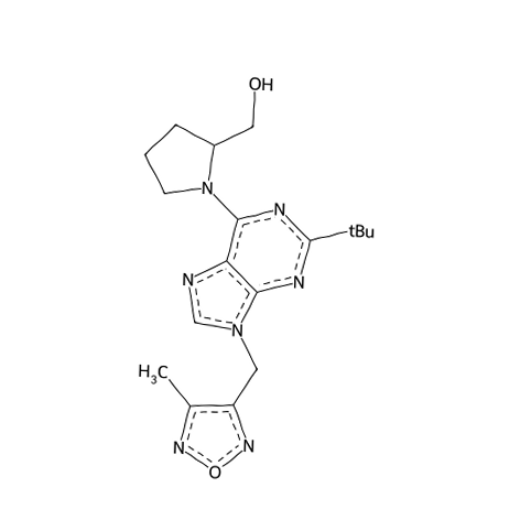 Cc1nonc1Cn1cnc2c(N3CCCC3CO)nc(C(C)(C)C)nc21